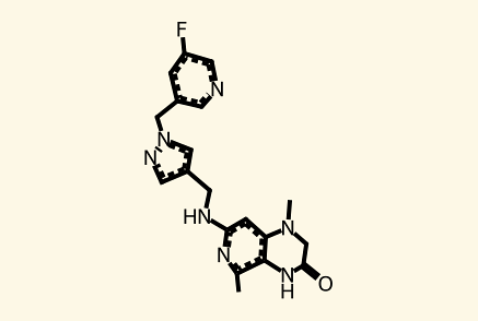 Cc1nc(NCc2cnn(Cc3cncc(F)c3)c2)cc2c1NC(=O)CN2C